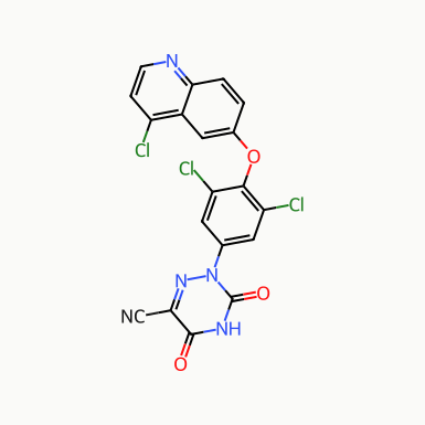 N#Cc1nn(-c2cc(Cl)c(Oc3ccc4nccc(Cl)c4c3)c(Cl)c2)c(=O)[nH]c1=O